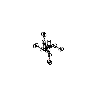 C=CC(=O)OCCCCCCOc1ccc(C(=O)Oc2cc(/C=N/Nc3ccc4cc(OCCCCCCOC(=O)C=C)ccc4c3)c(OC(=O)c3ccc(OCCCCCCOC(=O)C=C)cc3)c3cc(OCCCCCCOC(=O)C=C)ccc23)cc1